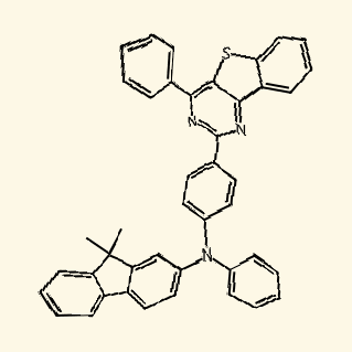 CC1(C)c2ccccc2-c2ccc(N(c3ccccc3)c3ccc(-c4nc(-c5ccccc5)c5sc6ccccc6c5n4)cc3)cc21